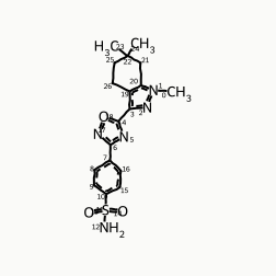 Cn1nc(-c2nc(-c3ccc(S(N)(=O)=O)cc3)no2)c2c1CC(C)(C)CC2